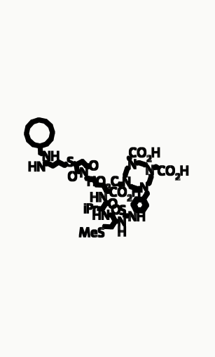 CSCCC(NC(=S)Nc1ccc(CN2CCN(CC(=O)O)CCN(CC(=O)O)CCN(CC(=O)O)CC2)cc1)C(=O)NC(C(=O)NC(CCCCN1C(=O)CC(SCCCC(=N)NCC2CCCCCCCCCCC2)C1=O)C(=O)O)C(C)C